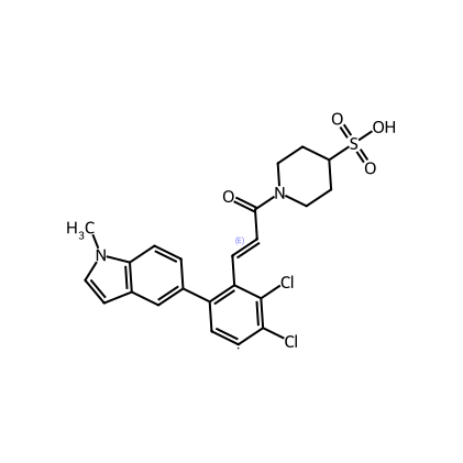 Cn1ccc2cc(-c3c[c]c(Cl)c(Cl)c3/C=C/C(=O)N3CCC(S(=O)(=O)O)CC3)ccc21